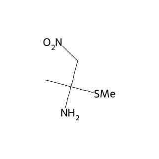 CSC(C)(N)C[N+](=O)[O-]